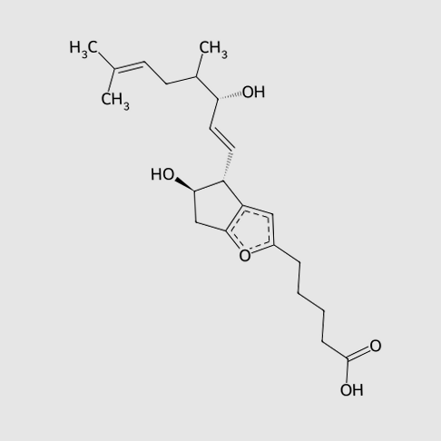 CC(C)=CCC(C)[C@H](O)/C=C/[C@@H]1c2cc(CCCCC(=O)O)oc2C[C@H]1O